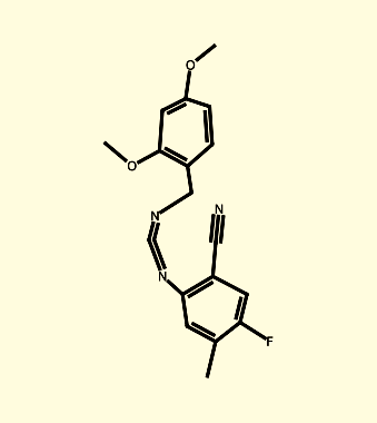 COc1ccc(CN=C=Nc2cc(C)c(F)cc2C#N)c(OC)c1